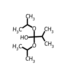 CC(C)OC(O)(OC(C)C)C(C)C